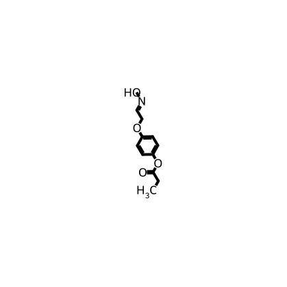 CCC(=O)Oc1ccc(OCC=NO)cc1